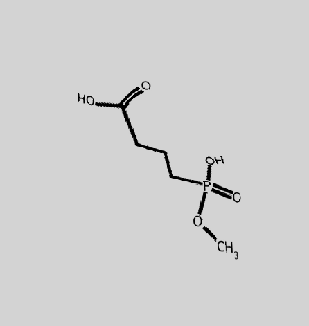 COP(=O)(O)CCCC(=O)O